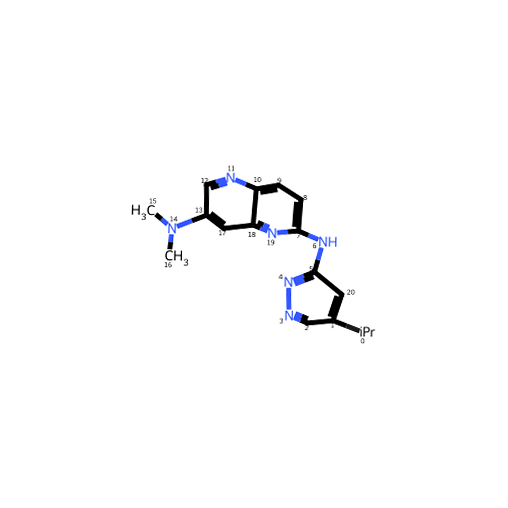 CC(C)c1cnnc(Nc2ccc3ncc(N(C)C)cc3n2)c1